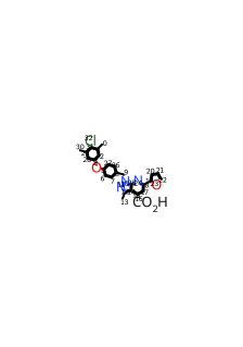 Cc1cc(Oc2ccc(Cn3nc(C)c4c(C(=O)O)cc(-c5ccco5)nc43)cc2)cc(C)c1Cl